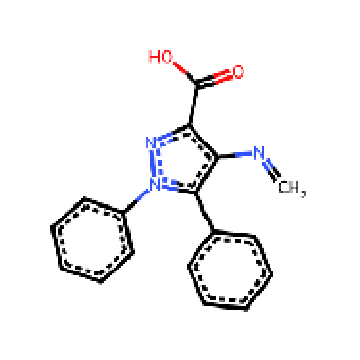 C=Nc1c(C(=O)O)nn(-c2ccccc2)c1-c1ccccc1